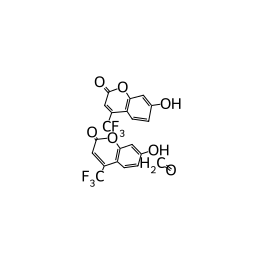 C=O.O=c1cc(C(F)(F)F)c2ccc(O)cc2o1.O=c1cc(C(F)(F)F)c2ccc(O)cc2o1